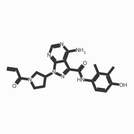 C=CC(=O)N1CCC(n2nc(C(=O)Nc3ccc(O)c(C)c3C)c3c(N)ncnc32)C1